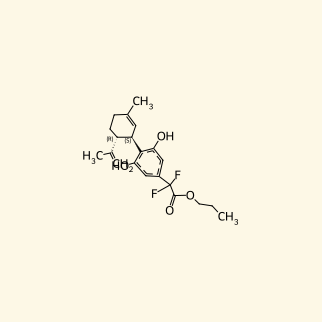 C=C(C)[C@@H]1CCC(C)=C[C@H]1c1c(O)cc(C(F)(F)C(=O)OCCC)cc1O